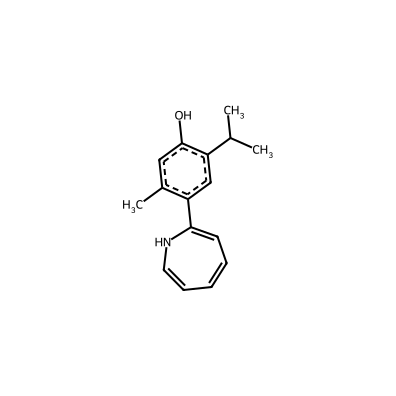 Cc1cc(O)c(C(C)C)cc1C1=CC=CC=CN1